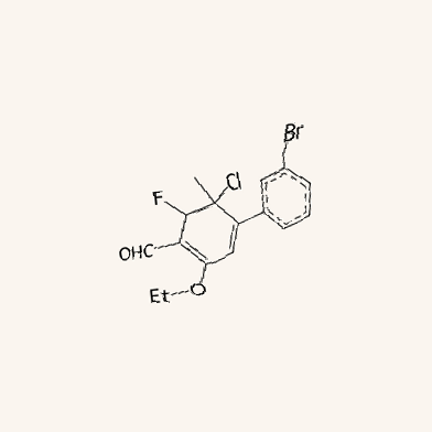 CCOC1=C(C=O)C(F)C(C)(Cl)C(c2cccc(Br)c2)=C1